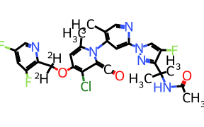 [2H]C([2H])(OC1=C(Cl)C(=C=O)N(c2cc(-n3cc(F)c(C(C)(C)NC(C)=O)n3)ncc2C)C(C)=C1)c1ncc(F)cc1F